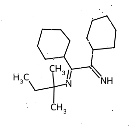 CCC(C)(C)/N=C(/C(=N)C1CCCCC1)C1CCCCC1